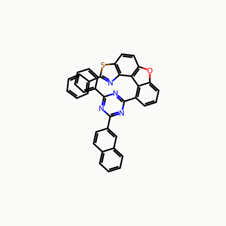 c1ccc(-c2nc(-c3ccc4ccccc4c3)nc(-c3cccc4oc5ccc6sc(-c7ccccc7)nc6c5c34)n2)cc1